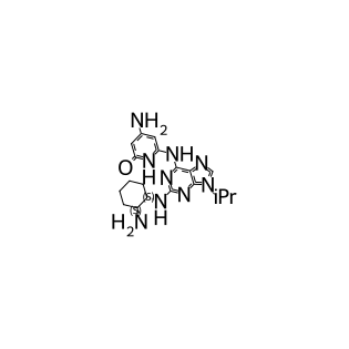 CC(C)n1cnc2c(Nc3cc(N)cc(=O)[nH]3)nc(N[C@H]3CCCC[C@@H]3N)nc21